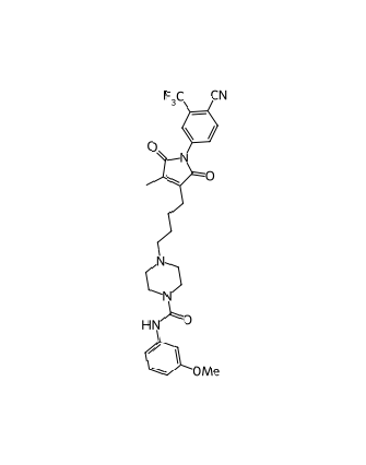 COc1cccc(NC(=O)N2CCN(CCCCC3=C(C)C(=O)N(c4ccc(C#N)c(C(F)(F)F)c4)C3=O)CC2)c1